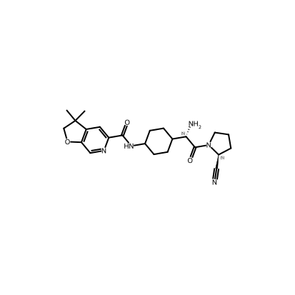 CC1(C)COc2cnc(C(=O)NC3CCC([C@H](N)C(=O)N4CCC[C@H]4C#N)CC3)cc21